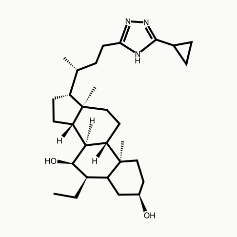 CC[C@@H]1C2C[C@H](O)CC[C@]2(C)[C@H]2CC[C@]3(C)[C@@H]([C@H](C)CCc4nnc(C5CC5)[nH]4)CC[C@H]3[C@@H]2[C@@H]1O